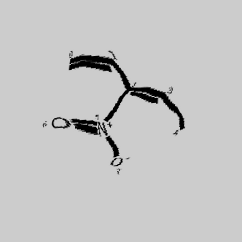 C=CC(=CC)[N+](=O)[O-]